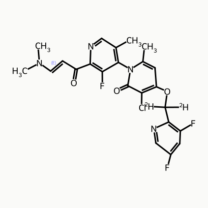 [2H]C([2H])(Oc1cc(C)n(-c2c(C)cnc(C(=O)/C=C/N(C)C)c2F)c(=O)c1Cl)c1ncc(F)cc1F